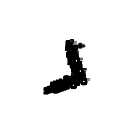 [O-]P([O-])(=S)[S-].[O-]P([O-])(=S)[S-].[O-]P([O-])(=S)[S-].[O-]P([O-])(=S)[S-].[O]=[Mo+4].[O]=[Mo+4].[O]=[Mo+4].[O]=[Mo+4].[O]=[Mo+4].[S-2].[S-2].[S-2].[S-2]